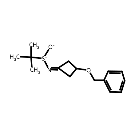 CC(C)(C)[S+]([O-])N=C1CC(OCc2ccccc2)C1